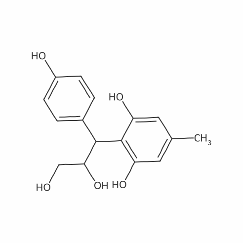 Cc1cc(O)c(C(c2ccc(O)cc2)C(O)CO)c(O)c1